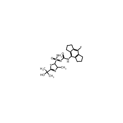 CC1N=C(C(C)(C)O)SC1S(N)(=O)=NC(=O)Nc1c2c(c(F)c3c1CCC3)CCC2